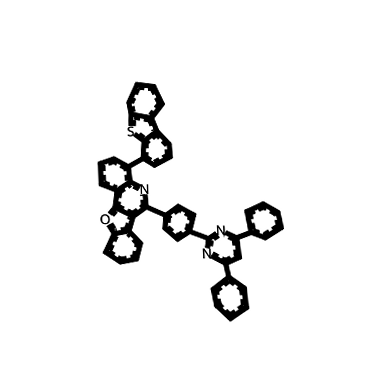 c1ccc(-c2cc(-c3ccccc3)nc(-c3ccc(-c4nc5c(-c6cccc7c6sc6ccccc67)cccc5c5oc6ccccc6c45)cc3)n2)cc1